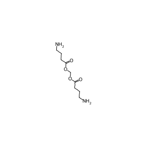 NCCCC(=O)OCOC(=O)CCCN